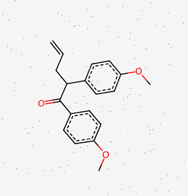 C=CCC(C(=O)c1ccc(OC)cc1)c1ccc(OC)cc1